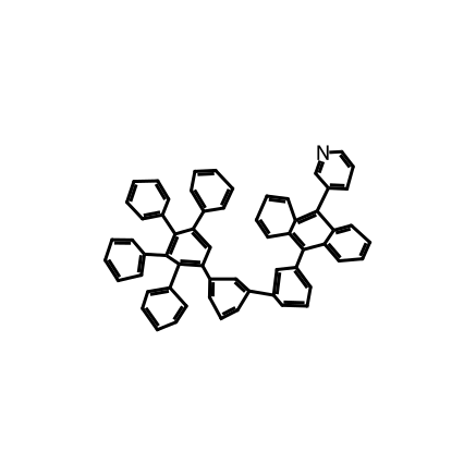 c1ccc(-c2cc(-c3cccc(-c4cccc(-c5c6ccccc6c(-c6cccnc6)c6ccccc56)c4)c3)c(-c3ccccc3)c(-c3ccccc3)c2-c2ccccc2)cc1